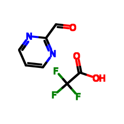 O=C(O)C(F)(F)F.O=Cc1ncccn1